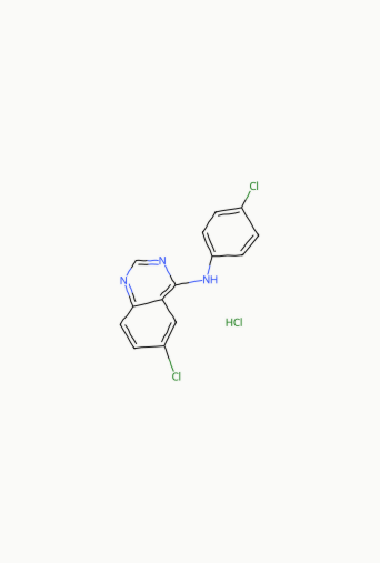 Cl.Clc1ccc(Nc2ncnc3ccc(Cl)cc23)cc1